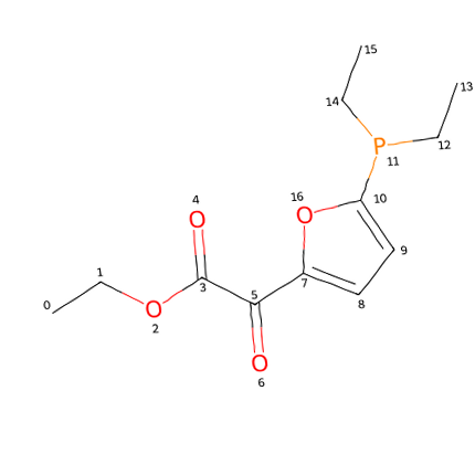 CCOC(=O)C(=O)c1ccc(P(CC)CC)o1